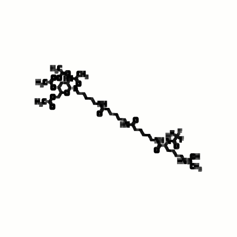 CB(O)NCCCCC(NC(=O)C(F)(F)F)C(=O)NCCCCCC(=O)NCCCCCC(=O)NCCCCCS[C@@H]1OC(COC(C)=O)[C@H](OC(C)=O)[C@H](OC(C)=O)C1NC(C)=O